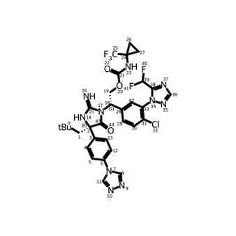 CC(C)(C)C[C@]1(c2ccc(-n3cnnc3)cc2)NC(=N)N([C@H](COC(=O)NC2(C(F)(F)F)CC2)c2ccc(Cl)c(-n3ncnc3C(F)F)c2)C1=O